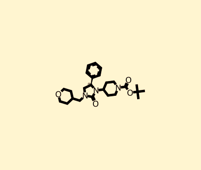 CC(C)(C)OC(=O)N1CCC(N2C(=O)N(CC3CCOCC3)C[C@H]2c2ccccc2)CC1